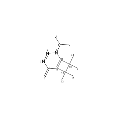 C=C1N=NN(C(C)C)C2=C1C(C)(C)C2(C)C